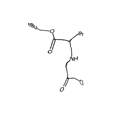 CC(C)C(NCC(=O)Cl)C(=O)OC(C)(C)C